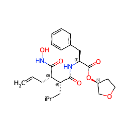 C=CC[C@H](C(=O)NO)[C@@H](CC(C)C)C(=O)N[C@@H](Cc1ccccc1)C(=O)O[C@H]1CCOC1